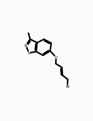 Cc1nsc2cc(OC/C=C/CBr)ccc12